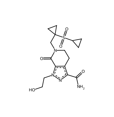 NC(=O)c1nn(CCO)c2c1CCN(CC1(S(=O)(=O)C3CC3)CC1)C2=O